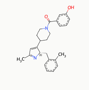 CC1=N[C@@H](Cc2ccccc2C)C(C2CCN(C(=O)c3cccc(O)c3)CC2)=C1